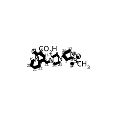 CS(=O)(=S)c1cc(N2CCN(Cc3cc(C(=O)O)c(=O)n4ccccc34)CC2)ccn1